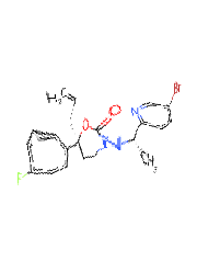 C=CC[C@@]1(c2ccc(F)cc2)CCN([C@@H](C)c2ccc(Br)cn2)C(=O)O1